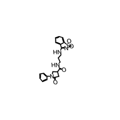 O=C(NCCCNC1=NS(=O)(=O)c2ccccc21)C1CC(=O)N(c2ccccc2)C1